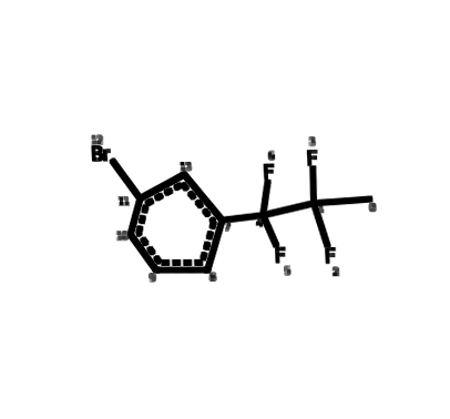 CC(F)(F)C(F)(F)c1cccc(Br)c1